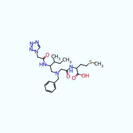 CCC(C)C(CN(CC(=O)NC(CCSC)C(=O)O)Cc1ccccc1)NC(=O)Cn1cnnn1